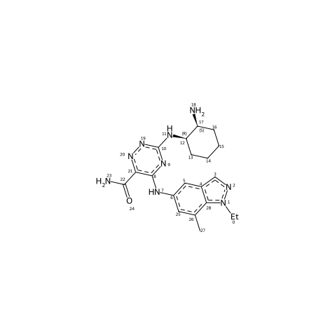 CCn1ncc2cc(Nc3nc(N[C@@H]4CCCC[C@@H]4N)nnc3C(N)=O)cc(C)c21